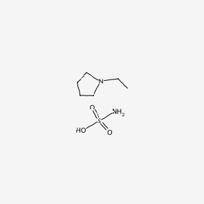 CCN1CCCC1.NS(=O)(=O)O